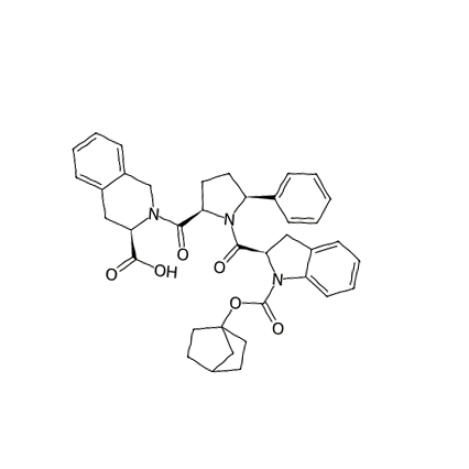 O=C(O)[C@H]1Cc2ccccc2CN1C(=O)[C@H]1CC[C@@H](c2ccccc2)N1C(=O)[C@H]1Cc2ccccc2N1C(=O)OC12CCC(CC1)C2